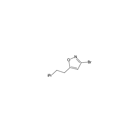 CC(C)CCc1cc(Br)no1